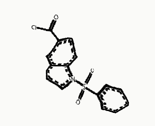 O=C(Cl)c1ccc2c(ccn2S(=O)(=O)c2ccccc2)c1